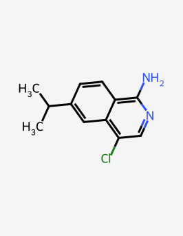 CC(C)c1ccc2c(N)ncc(Cl)c2c1